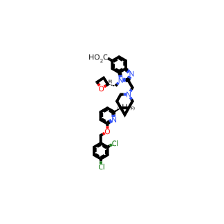 O=C(O)c1ccc2nc(CN3CC[C@@]4(c5cccc(OCc6ccc(Cl)cc6Cl)n5)C[C@H]4C3)n(C[C@H]3CCO3)c2c1